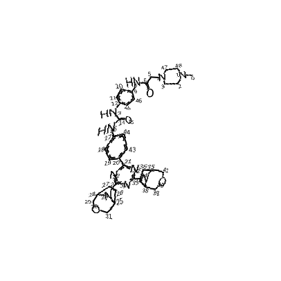 CN1CCN(CC(=O)Nc2ccc(NC(=O)Nc3ccc(-c4nc(N5C6CCC5COC6)nc(N5C6CCC5COC6)n4)cc3)cc2)CC1